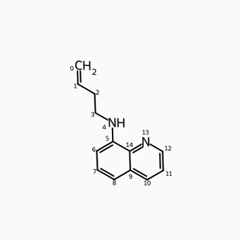 C=CCCNc1cccc2cccnc12